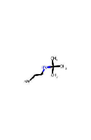 CCCC[CH]NC(C)(C)C